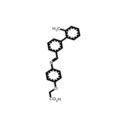 Cc1ccccc1-c1cccc(C=Nc2ccc(OCC(=O)O)cc2)c1